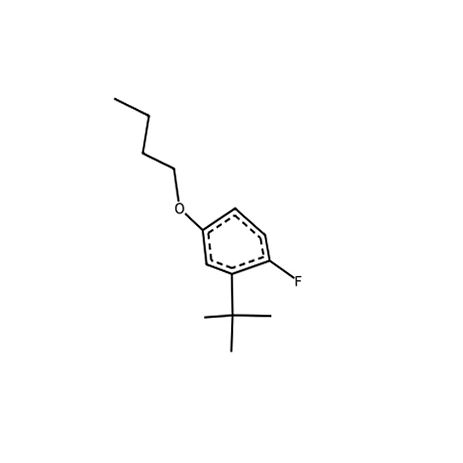 CCCCOc1ccc(F)c(C(C)(C)C)c1